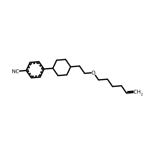 C=CCCCCOCCC1CCC(c2ccc(C#N)cc2)CC1